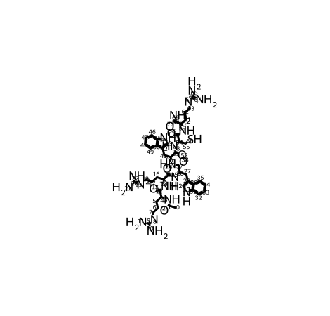 CC(=O)NC(CCCN=C(N)N)C(=O)NC(CCCN=C(N)N)C(=O)NC(Cc1c[nH]c2ccccc12)C(=O)NC(Cc1c[nH]c2ccccc12)C(=O)NC(CS)C(=O)NC(CCCN=C(N)N)C(N)=O